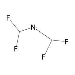 FC(F)[N]C(F)F